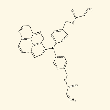 C=CC(=O)OCc1ccc(N(c2ccc(COC(=O)C=C)cc2)c2ccc3ccc4c5c3c2CC=C5CC=C4)cc1